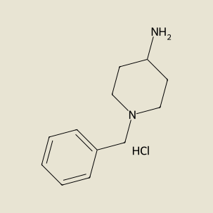 Cl.NC1CCN(Cc2ccccc2)CC1